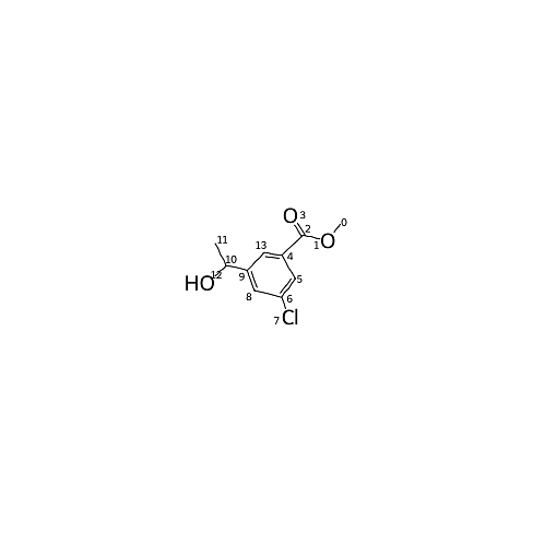 COC(=O)c1cc(Cl)cc(C(C)O)c1